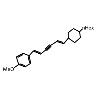 CCCCCCC1CCC(C=CC#CC=Cc2ccc(OC)cc2)CC1